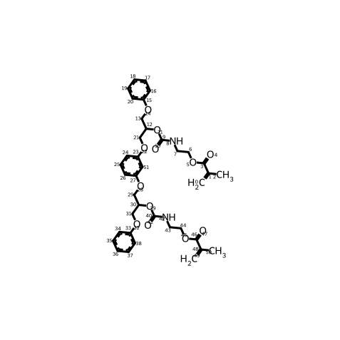 C=C(C)C(=O)OCCNC(=O)OC(COc1ccccc1)COc1cccc(OCC(COc2ccccc2)OC(=O)NCCOC(=O)C(=C)C)c1